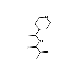 C=C(C)C(=O)NC(C)N1CCNCC1